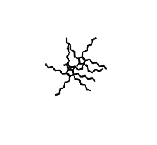 CCCCCCC1=C(CCCCCC)C(CCCCCC)(CCCCCC)[C]([Fe][C]2=C(CCCCCC)C(CCCCCC)=C(CCCCCC)C2(CCCCCC)CCCCCC)=C1CCCCCC